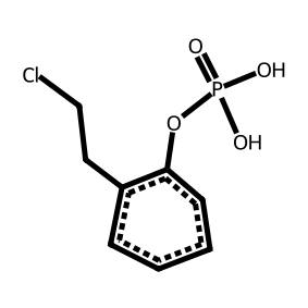 O=P(O)(O)Oc1ccccc1CCCl